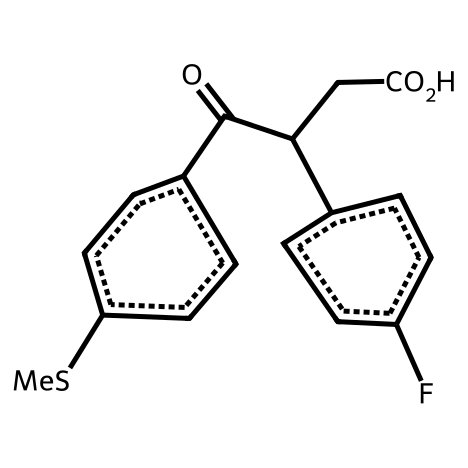 CSc1ccc(C(=O)C(CC(=O)O)c2ccc(F)cc2)cc1